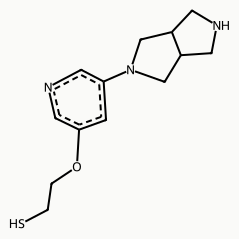 SCCOc1cncc(N2CC3CNCC3C2)c1